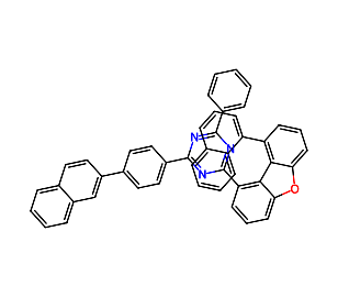 c1ccc(-c2nc(-c3ccc(-c4ccc5ccccc5c4)cc3)nc(-c3cccc4oc5cccc(-c6cccc7ccccc67)c5c34)n2)cc1